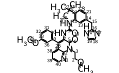 COCCn1c(=O)c(NC(=O)Nc2cc(Cc3ncc[nH]3)ccc2C(C)(C)C)c(-c2cccc(OC)c2)c2cccnc21